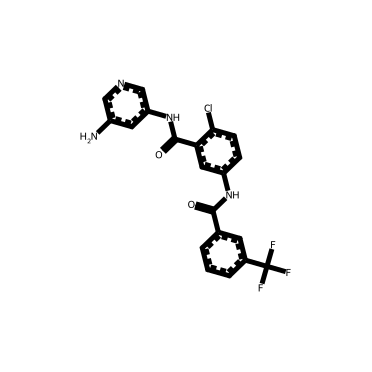 Nc1cncc(NC(=O)c2cc(NC(=O)c3cccc(C(F)(F)F)c3)ccc2Cl)c1